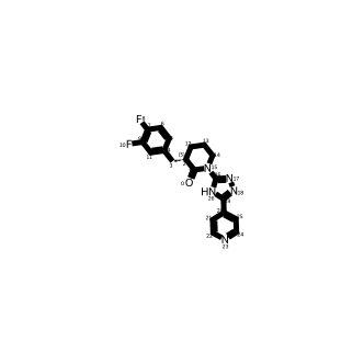 O=C1[C@H](Cc2ccc(F)c(F)c2)CCCN1c1nnc(-c2ccncc2)[nH]1